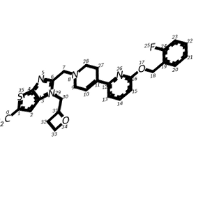 O=C(O)c1cc2c(nc(CN3CC=C(c4cccc(OCc5ccccc5F)n4)CC3)n2CC2CCO2)s1